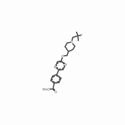 COC(=O)c1ccc(-c2cnc(OCC3CCN(CC(C)(C)F)CC3)cn2)cc1